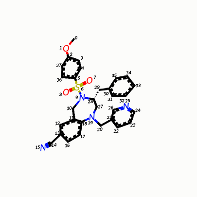 COc1ccc(S(=O)(=O)N2Cc3cc(C#N)ccc3N(Cc3cccnc3)C[C@H]2Cc2ccccc2)cc1